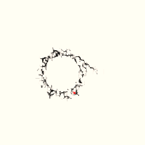 CC[C@H]1NC(=O)[C@H](C[C@H](C)CCCCCCN)N(C)C(=O)[C@@H](C(C)C)N(C)C(=O)[C@@H](CC(C)C)N(C)C(=O)[C@H](CC(C)C)N(C)C(=O)[C@H](C)NC(=O)[C@@H](C)NC(=O)[C@@H](CC(C)C)N(C)C(=O)[C@@H](C(C)C)NC(=O)[C@H](CC(C)C)N(C)C(=O)CN(C)C1=O